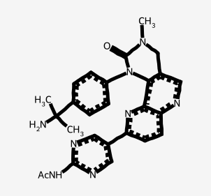 CC(=O)Nc1ncc(-c2ccc3ncc4c(c3n2)N(c2ccc(C(C)(C)N)cc2)C(=O)N(C)C4)cn1